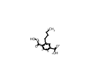 CCCCc1cc(C(=O)O)ccc1C(=O)OO